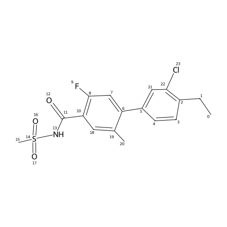 CCc1ccc(-c2cc(F)c(C(=O)NS(C)(=O)=O)cc2C)cc1Cl